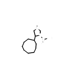 CN(C)B1CN(I)CC1C1CCCCCCCC1